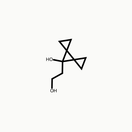 OCCC1(O)C2(CC2)C12CC2